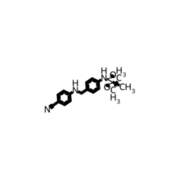 CC(C)(C)S(=O)(=O)Nc1ccc(CNc2ccc(C#N)cc2)cc1